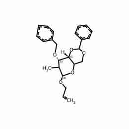 C=CCO[C@@H]1OC2COC(c3ccccc3)O[C@H]2[C@@H](OCc2ccccc2)C1C